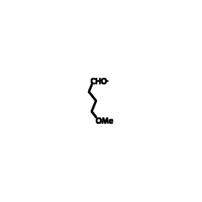 COCCC[C]=O